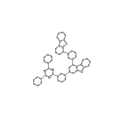 c1ccc(-c2nc(-c3ccccc3)nc(-c3cccc(-c4cc(-c5cccc(-c6cccc7c6sc6ccccc67)c5)c5c(c4)oc4ccccc45)c3)n2)cc1